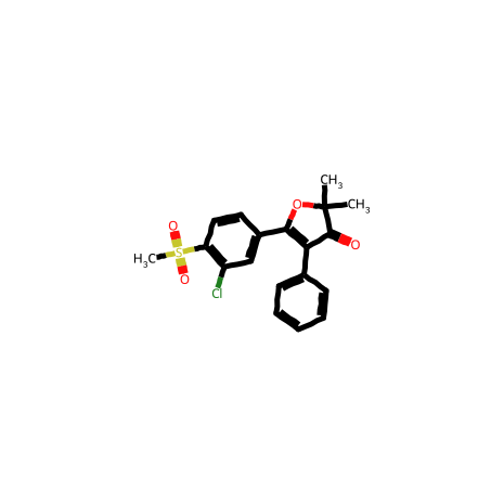 CC1(C)OC(c2ccc(S(C)(=O)=O)c(Cl)c2)=C(c2ccccc2)C1=O